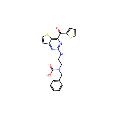 O=C(c1cccs1)c1nc(NCCN(Cc2ccccc2)C(=O)O)nc2ccsc12